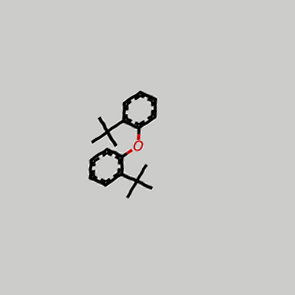 CC(C)(C)c1ccccc1Oc1ccccc1C(C)(C)C